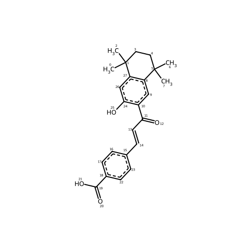 CC1(C)CCC(C)(C)c2cc(C(=O)C=Cc3ccc(C(=O)O)cc3)c(O)cc21